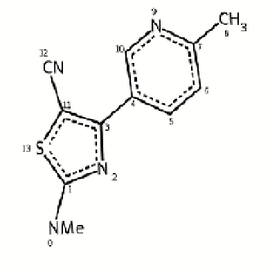 CNc1nc(-c2ccc(C)nc2)c(C#N)s1